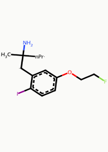 CC[CH]C(C)(N)[CH]c1cc(OCCF)ccc1I